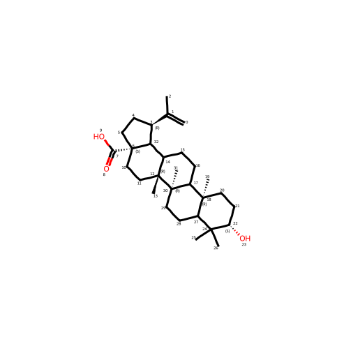 C=C(C)[C@@H]1CC[C@]2(C(=O)O)CC[C@]3(C)C(CCC4[C@@]5(C)CC[C@H](O)C(C)(C)C5CC[C@]43C)C12